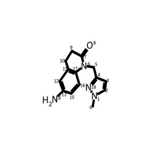 Cn1ccc(CN2C(=O)CCc3cc(N)ccc32)n1